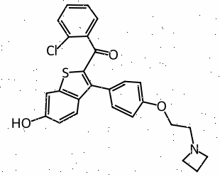 O=C(c1ccccc1Cl)c1sc2cc(O)ccc2c1-c1ccc(OCCN2CCC2)cc1